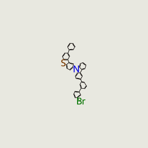 Brc1cccc(-c2cccc(-c3ccc4c(c3)c3ccccc3n4-c3ccc4sc5ccc(-c6ccccc6)cc5c4c3)c2)c1